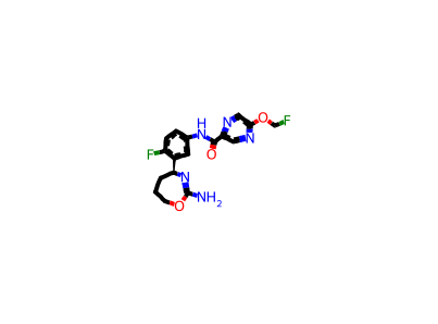 NC1=N[C@H](c2cc(NC(=O)c3cnc(OCF)cn3)ccc2F)CCCO1